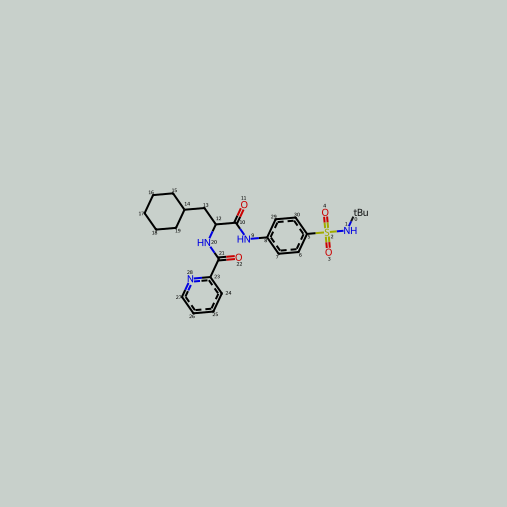 CC(C)(C)NS(=O)(=O)c1ccc(NC(=O)C(CC2CCCCC2)NC(=O)c2ccccn2)cc1